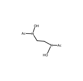 CC(=O)N(O)CCN(O)C(C)=O